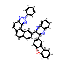 c1ccc(-n2nc3ccc4ccc5ccc(-c6nc7ccccc7nc6-c6ccc7oc8ccccc8c7c6)cc5c4c3n2)cc1